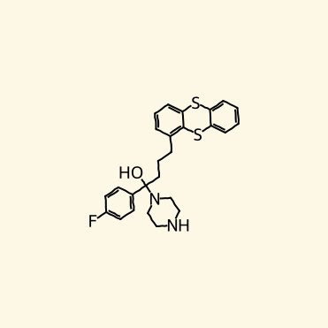 OC(CCCc1cccc2c1Sc1ccccc1S2)(c1ccc(F)cc1)N1CCNCC1